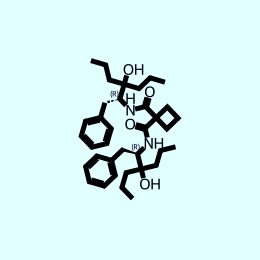 CCCC(O)(CCC)[C@@H](Cc1ccccc1)NC(=O)C1(C(=O)N[C@H](Cc2ccccc2)C(O)(CCC)CCC)CCC1